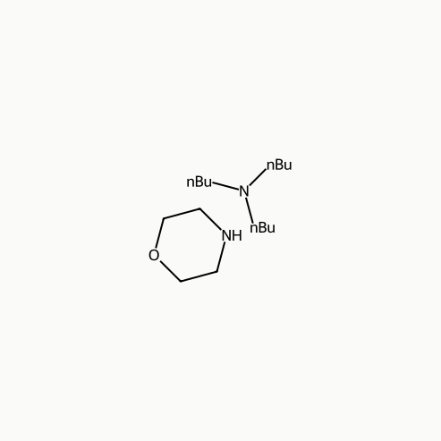 C1COCCN1.CCCCN(CCCC)CCCC